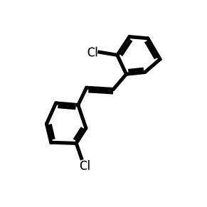 Clc1cccc(C=Cc2ccccc2Cl)c1